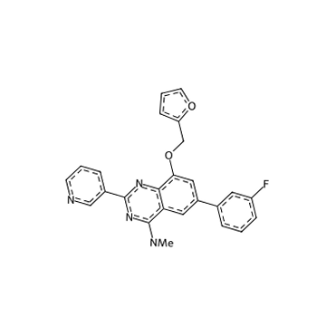 CNc1nc(-c2cccnc2)nc2c(OCc3ccco3)cc(-c3cccc(F)c3)cc12